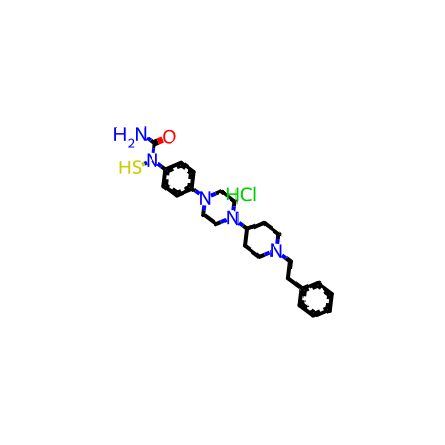 Cl.NC(=O)N(S)c1ccc(N2CCN(C3CCN(CCc4ccccc4)CC3)CC2)cc1